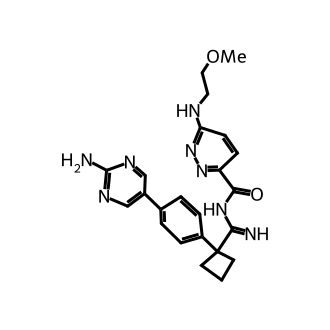 COCCNc1ccc(C(=O)NC(=N)C2(c3ccc(-c4cnc(N)nc4)cc3)CCC2)nn1